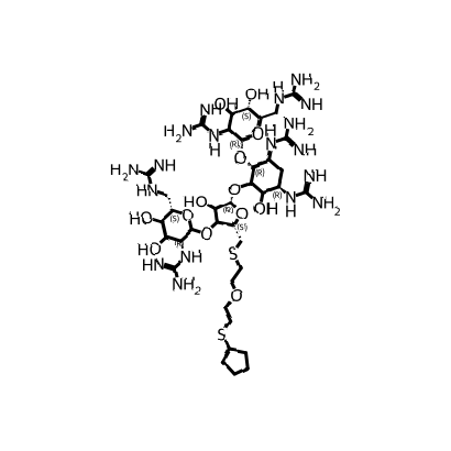 N=C(N)NCC1O[C@H](O[C@@H]2C(NC(=N)N)C[C@@H](NC(=N)N)C(O)C2O[C@@H]2O[C@H](CSCCOCCSC3CCCC3)C(OC3O[C@@H](CNC(=N)N)C(O)C(O)[C@H]3NC(=N)N)C2O)C(NC(=N)N)C(O)[C@@H]1O